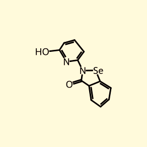 O=c1c2ccccc2[se]n1-c1cccc(O)n1